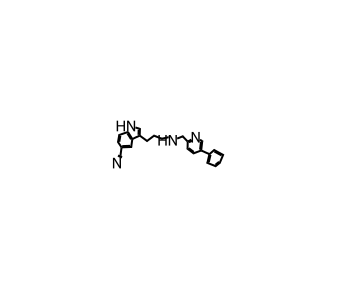 N#Cc1ccc2[nH]cc(CCCCNCc3ccc(-c4ccccc4)cn3)c2c1